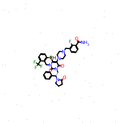 Cc1c(N2CCN(Cc3cccc(C(N)=O)c3F)CC2)c(=O)n(C[C@@H](c2ccccc2)N2CCCC2=O)c(=O)n1Cc1c(F)cccc1C(F)(F)F